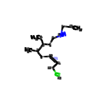 CCNCCC(C)C(C)C/C=C\CCl